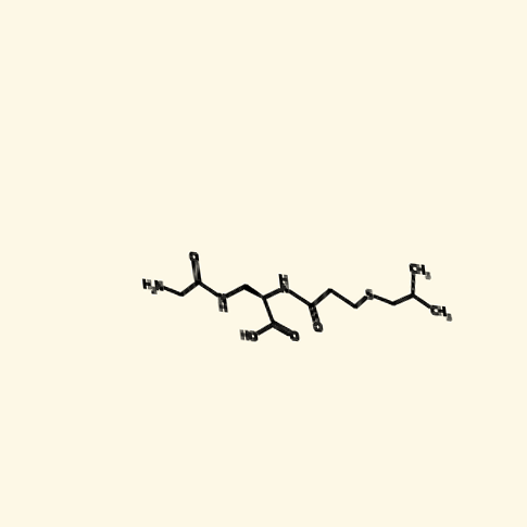 CC(C)CSCCC(=O)N[C@H](CNC(=O)CN)C(=O)O